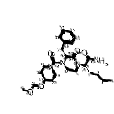 CCCC[C@@H](C(N)=O)N1CCN(C(=O)N2CCC(OCOC)CC2)[C@@H](Cc2ccccc2)C1=O